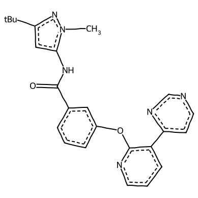 Cn1nc(C(C)(C)C)cc1NC(=O)c1cccc(Oc2ncccc2-c2ccncn2)c1